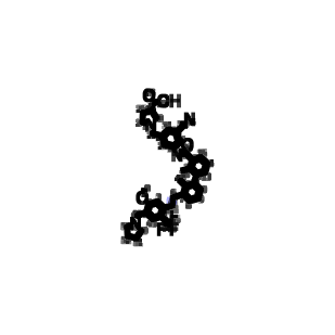 COc1cc(/C=C/c2cccc(-c3cccc(-c4nc5cc(CN6CC[C@@H](C(=O)O)C6)cc(C#N)c5o4)c3C)c2C)c(C(F)(F)F)cc1CN1CCCC1